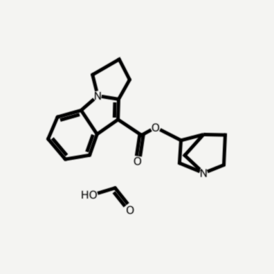 O=C(OC1CN2CCC1C2)c1c2n(c3ccccc13)CCC2.O=CO